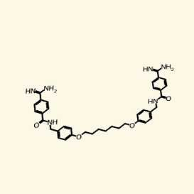 N=C(N)c1ccc(C(=O)NCc2ccc(OCCCCCCCOc3ccc(CNC(=O)c4ccc(C(=N)N)cc4)cc3)cc2)cc1